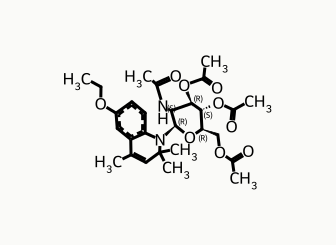 CCOc1ccc2c(c1)C(C)=CC(C)(C)N2[C@@H]1O[C@H](COC(C)=O)[C@@H](OC(C)=O)[C@H](OC(C)=O)[C@@H]1NC(C)=O